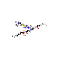 CCCCCC(=O)OCCCN(CCCOC(=O)CCCCC)C(=O)NCSSCCN(C)C